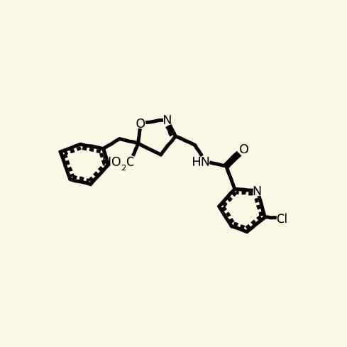 O=C(NCC1=NOC(Cc2ccccc2)(C(=O)O)C1)c1cccc(Cl)n1